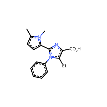 CCc1c(C(=O)O)nc(-c2ccc(C)n2C)n1-c1ccccc1